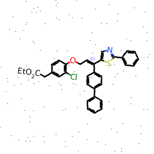 CCOC(=O)Cc1ccc(OC/C=C(\c2ccc(-c3ccccc3)cc2)c2cnc(-c3ccccc3)s2)c(Cl)c1